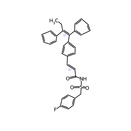 CC/C(=C(\c1ccccc1)c1ccc(/C=C/C(=O)NS(=O)(=O)Cc2ccc(F)cc2)cc1)c1ccccc1